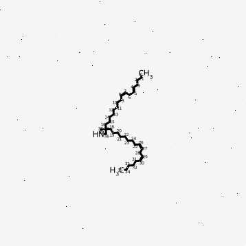 CCCC/C=C/C/C=C\CCCCCCCCC1(CCCCCCCC/C=C\C/C=C\CCCCC)CNC1